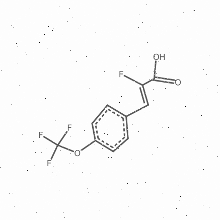 O=C(O)/C(F)=C/c1ccc(OC(F)(F)F)cc1